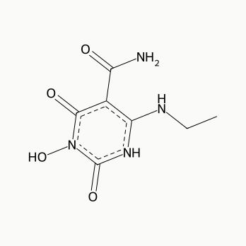 CCNc1[nH]c(=O)n(O)c(=O)c1C(N)=O